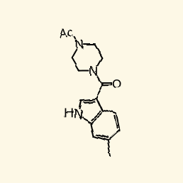 CC(=O)N1CCN(C(=O)c2c[nH]c3cc(C)ccc23)CC1